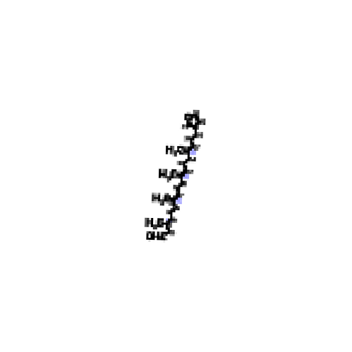 C/C(=C\CC/C(C)=C/CC/C(C)=C/CC/C(C)=C/CCc1ccoc1)CC=O